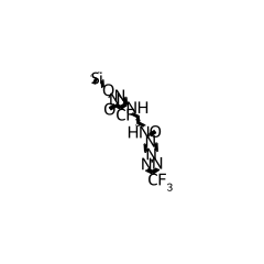 C[Si](C)(C)CCOCn1ncc(NCCCCNC(=O)N2CCN(c3ncc(C(F)(F)F)cn3)CC2)c(C(F)(F)F)c1=O